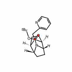 CC(C)(C)OC(=O)N1[C@@H]2CC[C@H]1[C@@H]1CC[C@H]2N1Cc1ccccn1